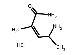 CC(=CC(C)N)C(N)=O.Cl